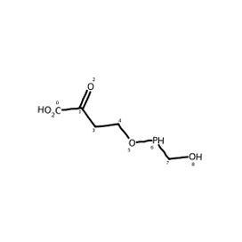 O=C(O)C(=O)CCOPCO